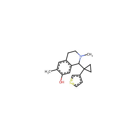 Cc1cc2c(cc1O)C(C1(c3ccsc3)CC1)N(C)CC2